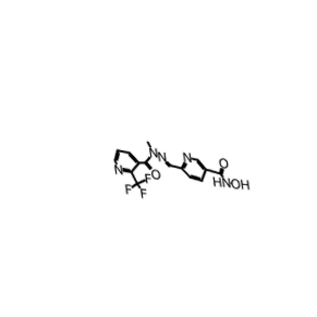 CN(N=Cc1ccc(C(=O)NO)cn1)C(=O)c1cccnc1C(F)(F)F